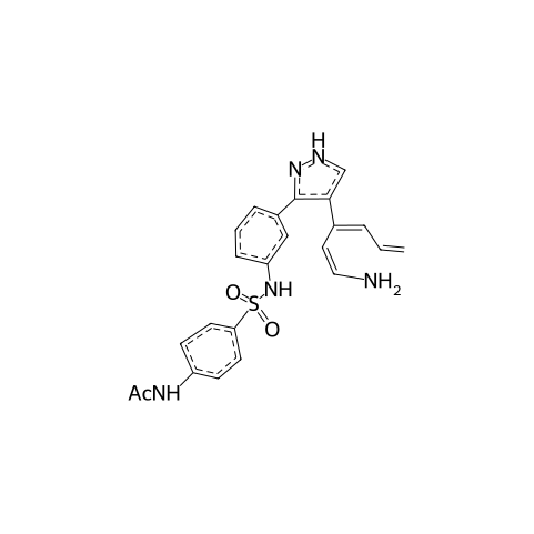 C=C/C=C(\C=C/N)c1c[nH]nc1-c1cccc(NS(=O)(=O)c2ccc(NC(C)=O)cc2)c1